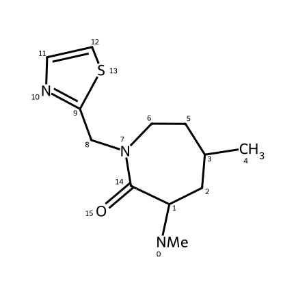 CNC1CC(C)CCN(Cc2nccs2)C1=O